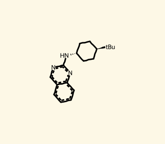 CC(C)(C)[C@H]1CC[C@H](Nc2ncc3ccccc3n2)CC1